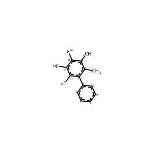 Cc1c(C)c(-c2ccccc2)c(F)c(F)c1F